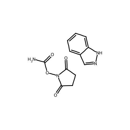 NC(=O)ON1C(=O)CCC1=O.c1ccc2[nH]ncc2c1